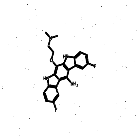 CN(C)CCOc1c2[nH]c3ccc(F)cc3c2c(N)c2c1[nH]c1ccc(F)cc12